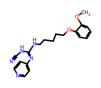 COc1ccccc1OCCCCCNC(=Nc1ccncc1)NC#N